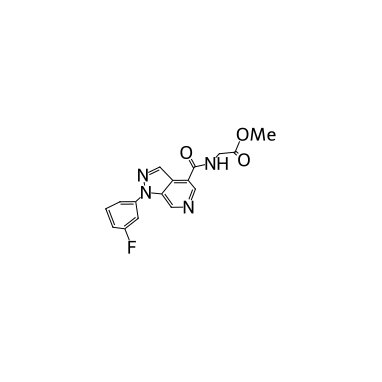 COC(=O)CNC(=O)c1cncc2c1cnn2-c1cccc(F)c1